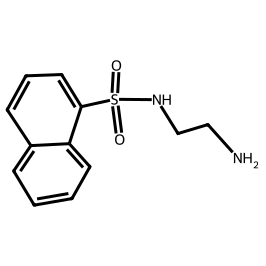 NCCNS(=O)(=O)c1cccc2ccccc12